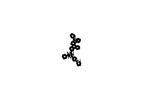 c1ccc(-c2nc(-c3ccc(-c4ccccn4)cc3)nc(-c3ccc4c(c3)c3ccccc3c3c4ccc4c3c3ccccc3n4-c3ccccc3)n2)cc1